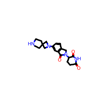 O=C1CCC(N2Cc3ccc(N4CC5(CCNCC5)C4)cc3C2=O)C(=O)N1